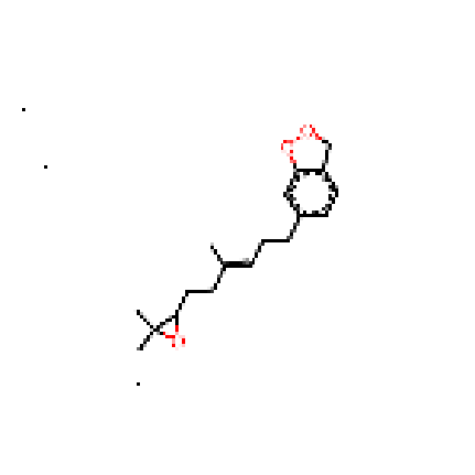 C/C(=C\CCc1ccc2c(c1)OOC2)CCC1OC1(C)C